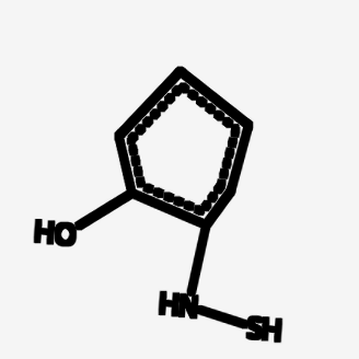 Oc1ccccc1NS